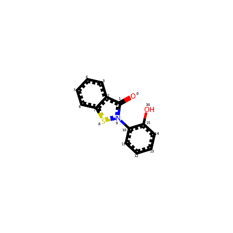 O=c1c2ccccc2sn1-c1ccccc1O